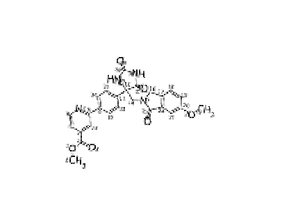 COC(=O)c1ccnc(-c2ccc(C3(CN4Cc5ccc(OC)cc5C4=O)NC(=O)NC3=O)cc2)c1